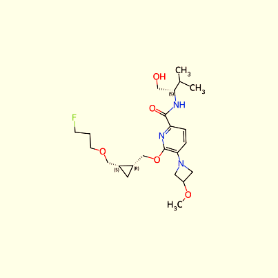 COC1CN(c2ccc(C(=O)N[C@H](CO)C(C)C)nc2OC[C@@H]2C[C@@H]2COCCCF)C1